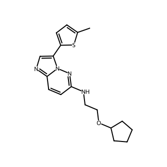 Cc1ccc(-c2cnc3ccc(NCCOC4CCCC4)nn23)s1